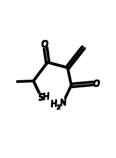 C=C(C(N)=O)C(=O)C(C)S